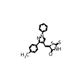 Cc1ccc(-c2nn(-c3ccccc3)cc2/C=C2\SC(=S)NC2=O)cc1